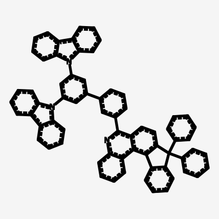 c1ccc(C2(c3ccccc3)c3ccccc3-c3c2ccc2c(-c4cccc(-c5cc(-n6c7ccccc7c7ccccc76)cc(-n6c7ccccc7c7ccccc76)c5)c4)nc4ccccc4c32)cc1